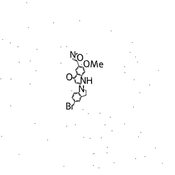 COc1cc2[nH]c(N3CCc4cc(Br)ccc43)cc(=O)c2cc1-c1cnco1